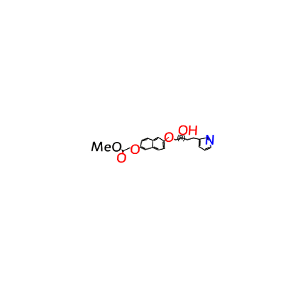 COC(=O)COc1ccc2cc(OC[C@H](O)CCc3cccnc3)ccc2c1